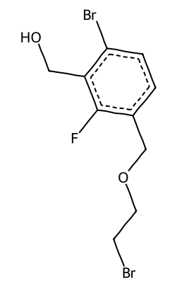 OCc1c(Br)ccc(COCCBr)c1F